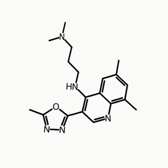 Cc1cc(C)c2ncc(-c3nnc(C)o3)c(NCCCN(C)C)c2c1